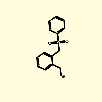 O=S(=O)(Cc1ccccc1CO)c1ccccc1